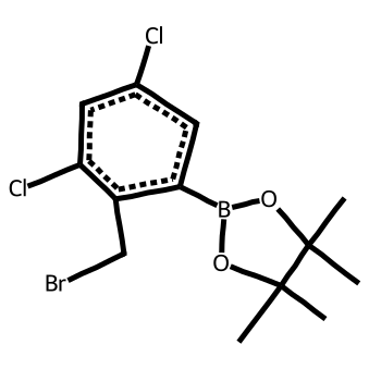 CC1(C)OB(c2cc(Cl)cc(Cl)c2CBr)OC1(C)C